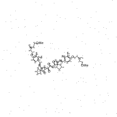 COCCN(C)CCOc1ccc(/C=N/N(C)C2(C(=O)OC(=O)C(=O)OC(=O)C3(N(C)/N=C/c4ccc(OCCN(C)CCOC)c(F)c4F)CCCC3)CCCC2)c(F)c1F